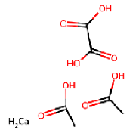 CC(=O)O.CC(=O)O.O=C(O)C(=O)O.[CaH2]